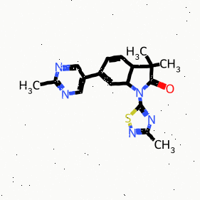 Cc1ncc(C2=CC3C(C=C2)C(C)(C)C(=O)N3c2nc(C)ns2)cn1